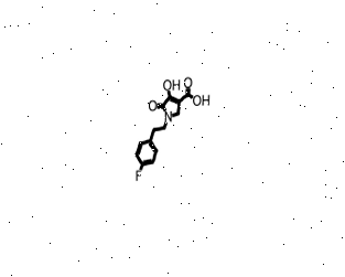 O=C(O)C1=C(O)C(=O)N(CCc2ccc(F)cc2)C1